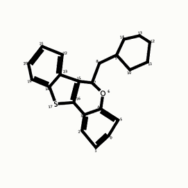 c1ccc2c(c1)OC(CC1CCCCC1)c1c-2sc2ccccc12